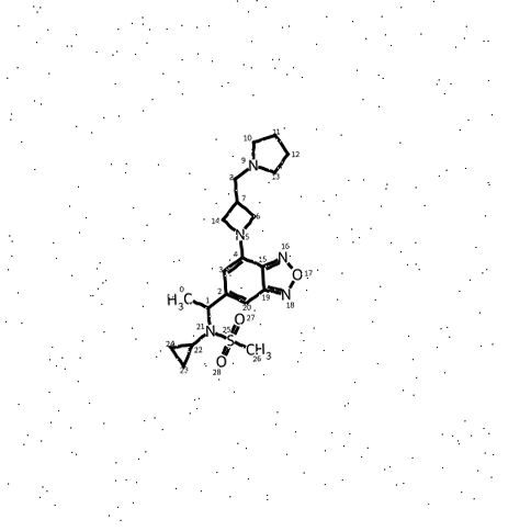 CC(c1cc(N2CC(CN3CCCC3)C2)c2nonc2c1)N(C1CC1)S(C)(=O)=O